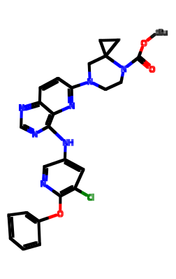 CC(C)(C)OC(=O)N1CCN(c2ccc3ncnc(Nc4cnc(Oc5ccccc5)c(Cl)c4)c3n2)CC12CC2